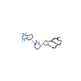 Cn1cnc2ccc(-c3cccc(-c4ccc5c(ccc6ccccc65)c4)n3)cc21